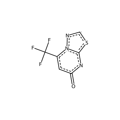 O=c1cc(C(F)(F)F)n2n[c]sc2n1